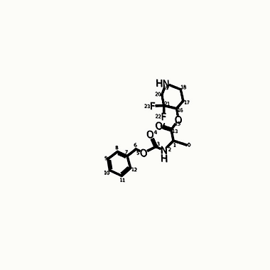 CC(NC(=O)OCc1ccccc1)C(=O)OC1CCNCC1(F)F